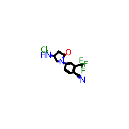 N#Cc1ccc(N2CC(NCl)CC2=O)cc1C(F)(F)F